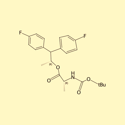 C[C@@H](NC(=O)OC(C)(C)C)C(=O)O[C@H](C)C(c1ccc(F)cc1)c1ccc(F)cc1